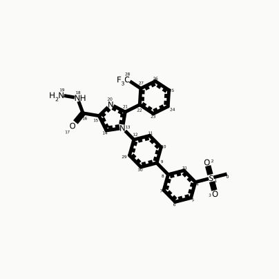 CS(=O)(=O)c1cccc(-c2ccc(-n3cc(C(=O)NN)nc3-c3ccccc3C(F)(F)F)cc2)c1